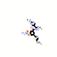 Cc1cnc(-c2cc(C(=O)NC(C)c3cnc(C(F)(F)F)nc3)cc(S(N)(=O)=O)c2)s1